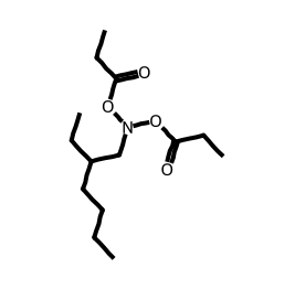 CCCCC(CC)CN(OC(=O)CC)OC(=O)CC